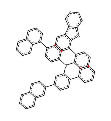 c1ccc(-c2ccc(-c3ccc4ccccc4c3)cc2N(c2ccc(-c3cccc4ccccc34)cc2)c2ccccc2-c2cccc3c2sc2ccccc23)cc1